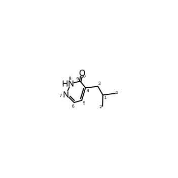 CC(C)Cc1ccn[nH]c1=O